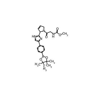 COC(=O)NCC(=O)N1CC=CC1c1nc(-c2ccc(B3OC(C)(C)C(C)(C)O3)cc2)c[nH]1